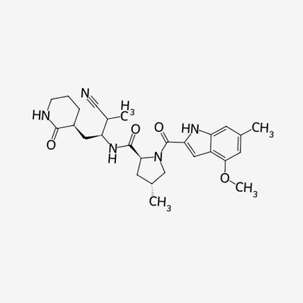 COc1cc(C)cc2[nH]c(C(=O)N3C[C@H](C)C[C@H]3C(=O)N[C@@H](C[C@@H]3CCCNC3=O)C(C)C#N)cc12